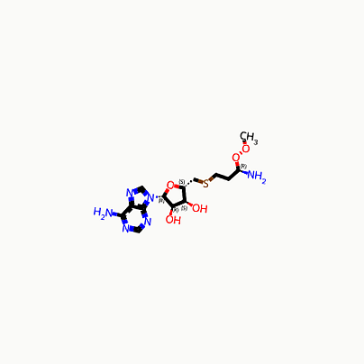 COO[C@@H](N)CCSC[C@H]1O[C@@H](n2cnc3c(N)ncnc32)[C@H](O)[C@@H]1O